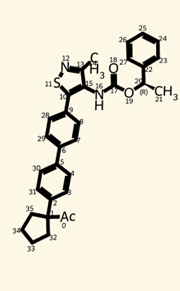 CC(=O)C1(c2ccc(-c3ccc(-c4snc(C)c4NC(=O)O[C@H](C)c4ccccc4)cc3)cc2)CCCC1